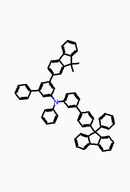 CC1(C)c2ccccc2-c2ccc(-c3cc(-c4ccccc4)cc(N(c4ccccc4)c4cccc(-c5ccc(C6(c7ccccc7)c7ccccc7-c7ccccc76)cc5)c4)c3)cc21